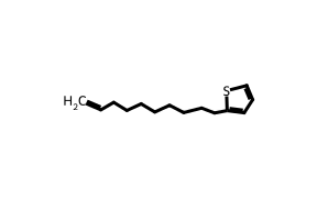 C=CCCCCCCCCc1cccs1